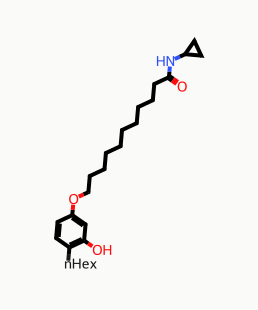 CCCCCCc1ccc(OCCCCCCCCCCC(=O)NC2CC2)cc1O